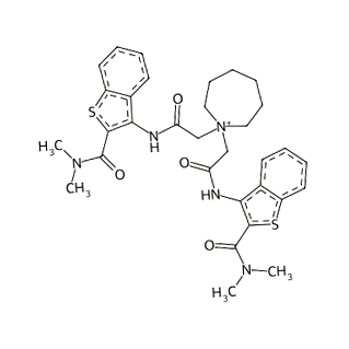 CN(C)C(=O)c1sc2ccccc2c1NC(=O)C[N+]1(CC(=O)Nc2c(C(=O)N(C)C)sc3ccccc23)CCCCCC1